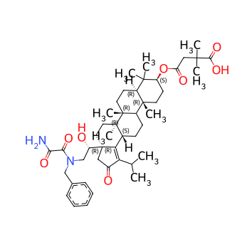 CC(C)C1=C2[C@H]3CCC4[C@@]5(C)CC[C@H](OC(=O)CC(C)(C)C(=O)O)C(C)(C)[C@@H]5CC[C@@]4(C)[C@]3(C)CC[C@@]2([C@@H](O)CN(Cc2ccccc2)C(=O)C(N)=O)CC1=O